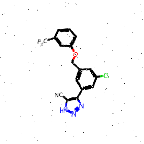 N#Cc1[nH]nnc1-c1cc(Cl)cc(COc2cccc(C(F)(F)F)c2)c1